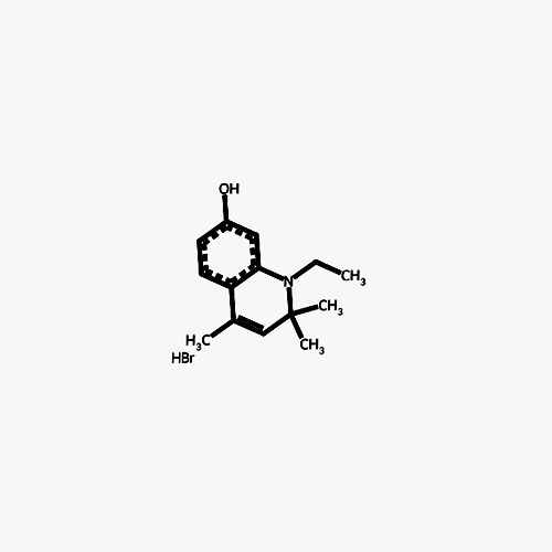 Br.CCN1c2cc(O)ccc2C(C)=CC1(C)C